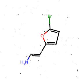 NC=Cc1ccc(Br)o1